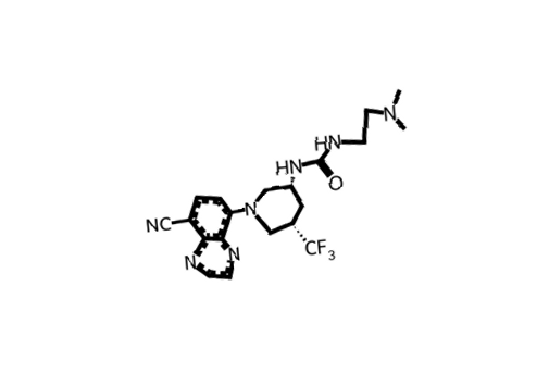 CN(C)CCNC(=O)N[C@@H]1C[C@H](C(F)(F)F)CN(c2ccc(C#N)c3nccnc23)C1